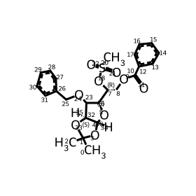 CC1(C)O[C@H]2O[C@H]([C@@H](COC(=O)c3ccccc3)OS(C)(=O)=O)C(OCc3ccccc3)[C@@H]2O1